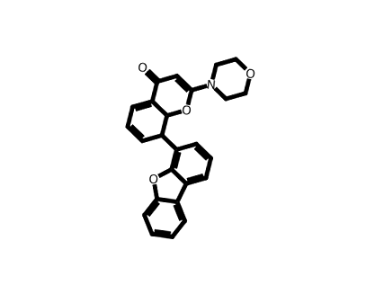 O=C1C=C(N2CCOCC2)OC2C1=CC=CC2c1cccc2c1oc1ccccc12